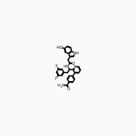 NC(=O)c1ccc(-c2cccnc2C(Cc2cc(F)cc(F)c2)NC(=O)Cc2c[nH]c3ccc(O)cc23)cc1